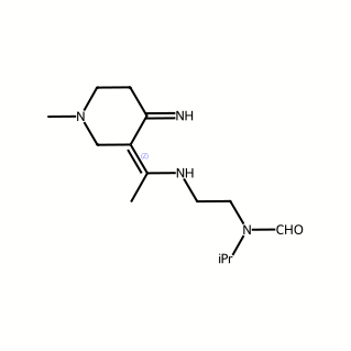 C/C(NCCN(C=O)C(C)C)=C1\CN(C)CCC1=N